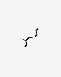 C=C/C=N\C=C(\N)C=C